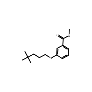 COC(=O)c1cccc(OCCCC(C)(C)C)c1